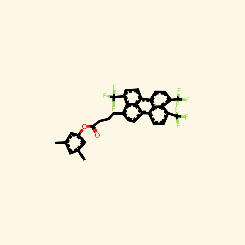 Cc1cc(C)cc(OC(=O)CCCc2ccc3c4ccc(C(F)(F)F)c5c(C(F)(F)F)ccc(c6ccc(C(F)(F)F)c2c36)c54)c1